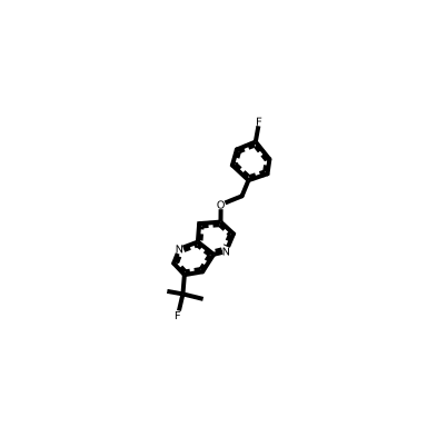 CC(C)(F)c1cnc2cc(OCc3ccc(F)cc3)cnc2c1